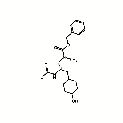 CN(C[C@H](CC1CCC(O)CC1)NC(=O)O)C(=O)OCc1ccccc1